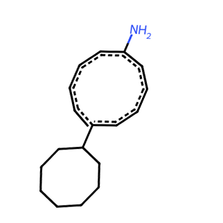 Nc1ccccc(C2CCCCCCC2)cccc1